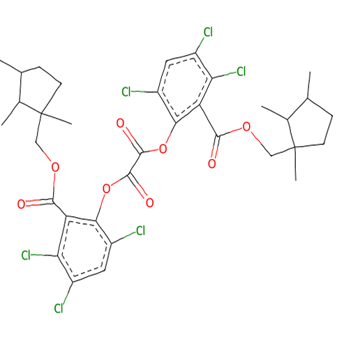 CC1CCC(C)(COC(=O)c2c(Cl)c(Cl)cc(Cl)c2OC(=O)C(=O)Oc2c(Cl)cc(Cl)c(Cl)c2C(=O)OCC2(C)CCC(C)C2C)C1C